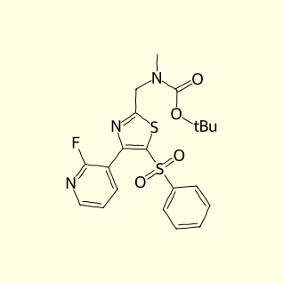 CN(Cc1nc(-c2cccnc2F)c(S(=O)(=O)c2ccccc2)s1)C(=O)OC(C)(C)C